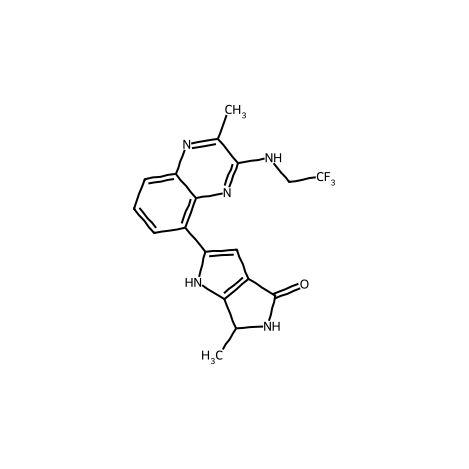 Cc1nc2cccc(-c3cc4c([nH]3)C(C)NC4=O)c2nc1NCC(F)(F)F